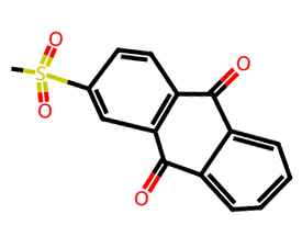 CS(=O)(=O)c1ccc2c(c1)C(=O)c1ccccc1C2=O